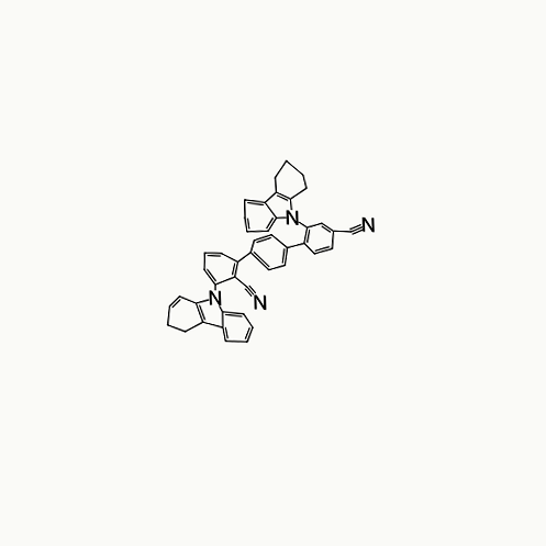 N#Cc1ccc(-c2ccc(-c3cccc(-n4c5c(c6ccccc64)CCC=C5)c3C#N)cc2)c(-n2c3c(c4ccccc42)CCCC3)c1